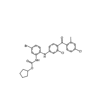 Cc1cc(Cl)ccc1C(=O)c1ccc(Nc2ccc(Br)cc2NC(=O)OC2CCCC2)cc1Cl